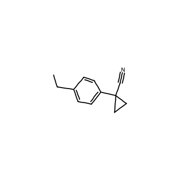 CCc1ccc(C2(C#N)CC2)cc1